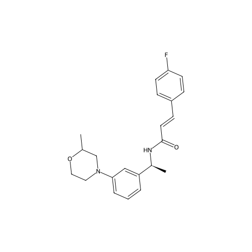 CC1CN(c2cccc([C@H](C)NC(=O)C=Cc3ccc(F)cc3)c2)CCO1